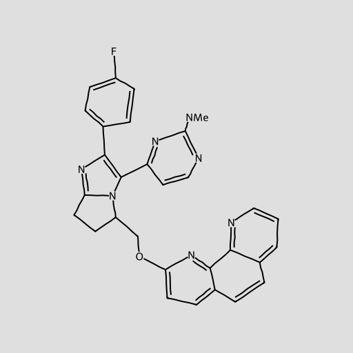 CNc1nccc(-c2c(-c3ccc(F)cc3)nc3n2C(COc2ccc4ccc5cccnc5c4n2)CC3)n1